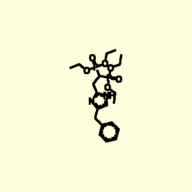 CCOP(=O)(OCC)C(Cc1nc(Cc2ccccc2)c[nH]1)P(=O)(OCC)OCC